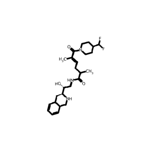 C/C(=C\CC(C)C(=O)NC[C@@H](O)[C@@H]1CC2C=CC=CC2CN1)C(=O)N1CCC(C(F)F)CC1